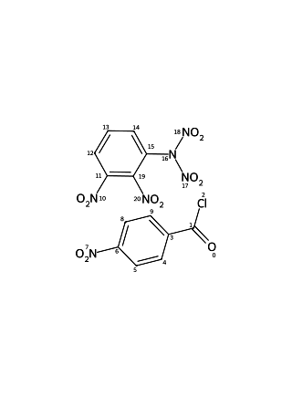 O=C(Cl)c1ccc([N+](=O)[O-])cc1.O=[N+]([O-])c1cccc(N([N+](=O)[O-])[N+](=O)[O-])c1[N+](=O)[O-]